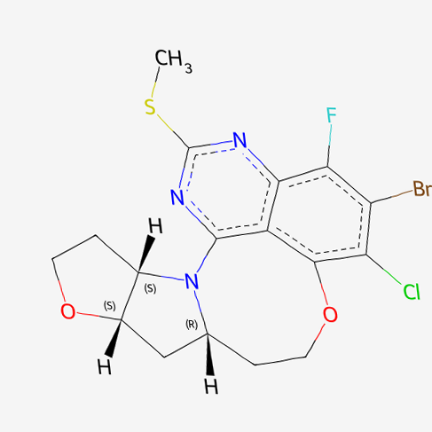 CSc1nc2c3c(c(Cl)c(Br)c(F)c3n1)OCC[C@@H]1C[C@@H]3OCC[C@@H]3N21